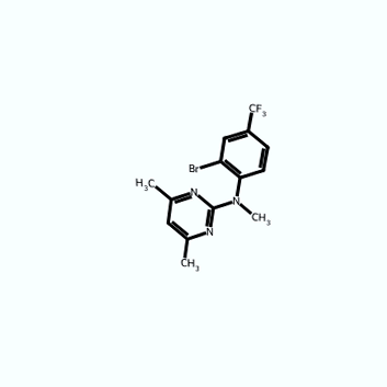 Cc1cc(C)nc(N(C)c2ccc(C(F)(F)F)cc2Br)n1